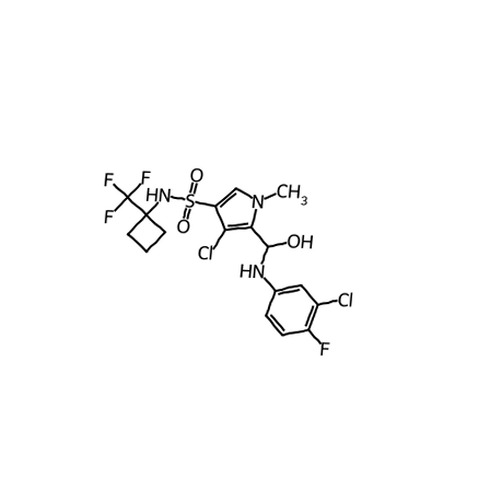 Cn1cc(S(=O)(=O)NC2(C(F)(F)F)CCC2)c(Cl)c1C(O)Nc1ccc(F)c(Cl)c1